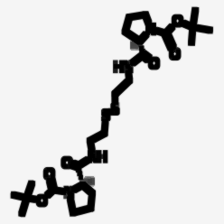 CC(C)(C)OC(=O)N1CCC[C@H]1C(=O)NCCSSCCNC(=O)[C@@H]1CCCN1C(=O)OC(C)(C)C